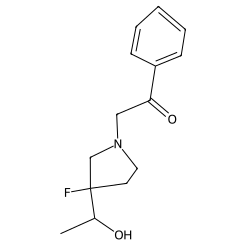 CC(O)C1(F)CCN(CC(=O)c2ccccc2)C1